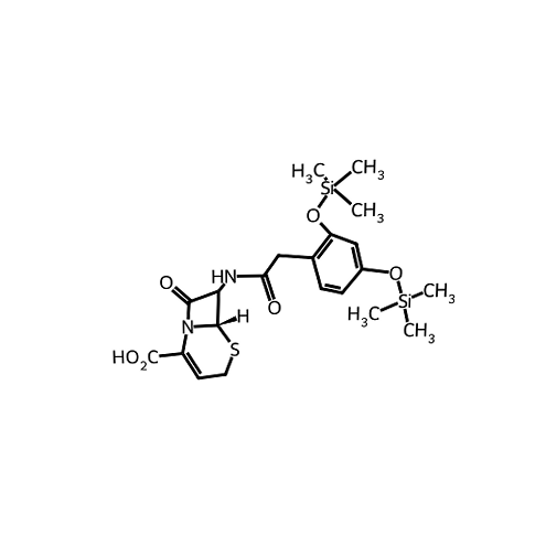 C[Si](C)(C)Oc1ccc(CC(=O)NC2C(=O)N3C(C(=O)O)=CCS[C@@H]23)c(O[Si](C)(C)C)c1